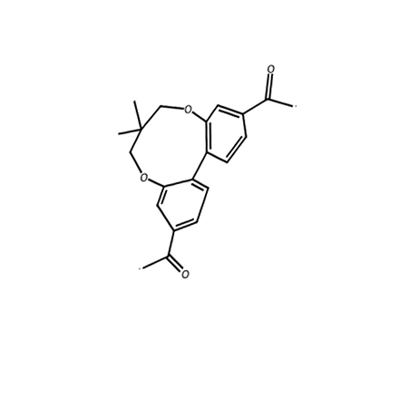 [CH2]C(=O)c1ccc2c(c1)OCC(C)(C)COc1cc(C([CH2])=O)ccc1-2